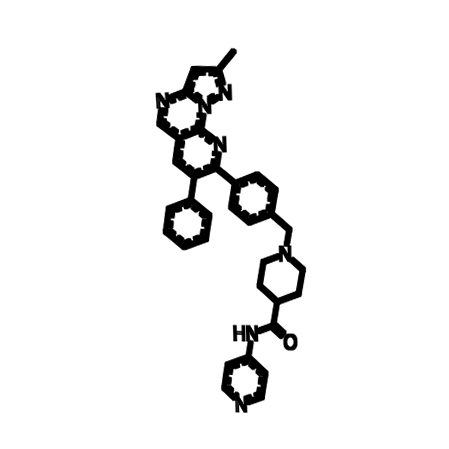 Cc1cc2ncc3cc(-c4ccccc4)c(-c4ccc(CN5CCC(C(=O)Nc6ccncc6)CC5)cc4)nc3n2n1